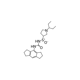 CCC(CC)N1CCC([S+]([O-])NC(=O)Nc2c3c(cc4c2CCC4)CCC3)C1